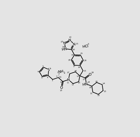 Cl.N[C@@H](Cc1cccs1)C(=O)N1CCC(Cc2ccc(-c3nnn[nH]3)cc2)(C(=O)NC2CCCCC2)CC1